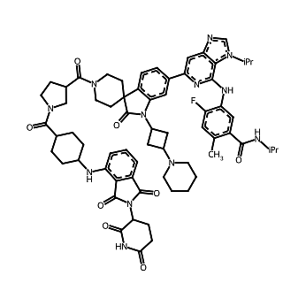 Cc1cc(F)c(Nc2nc(-c3ccc4c(c3)N(C3CC(N5CCCCC5)C3)C(=O)C43CCN(C(=O)C4CCN(C(=O)C5CCC(Nc6cccc7c6C(=O)N(C6CCC(=O)NC6=O)C7=O)CC5)C4)CC3)cc3ncn(C(C)C)c23)cc1C(=O)NC(C)C